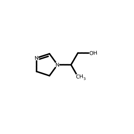 CC(CO)N1C=NCC1